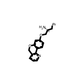 CC(C)C[C@@H](N)COc1ccc2c(c1)OCc1cccnc1-2